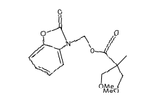 COCC(C)(COC)C(=O)OCn1c(=O)oc2ccccc21